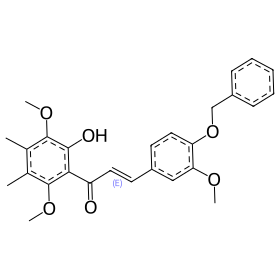 COc1cc(/C=C/C(=O)c2c(O)c(OC)c(C)c(C)c2OC)ccc1OCc1ccccc1